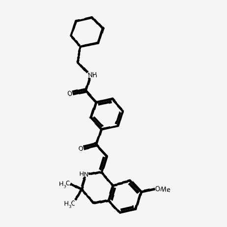 COc1ccc2c(c1)C(=CC(=O)c1cccc(C(=O)NCC3CCCCC3)c1)NC(C)(C)C2